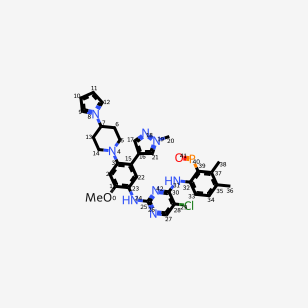 COc1cc(N2CCC(n3cccc3)CC2)c(-c2cnn(C)c2)cc1Nc1ncc(Cl)c(Nc2ccc(C)c(C)c2P=O)n1